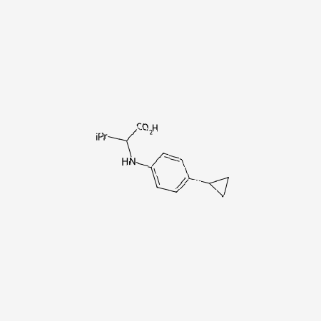 CC(C)C(Nc1ccc(C2CC2)cc1)C(=O)O